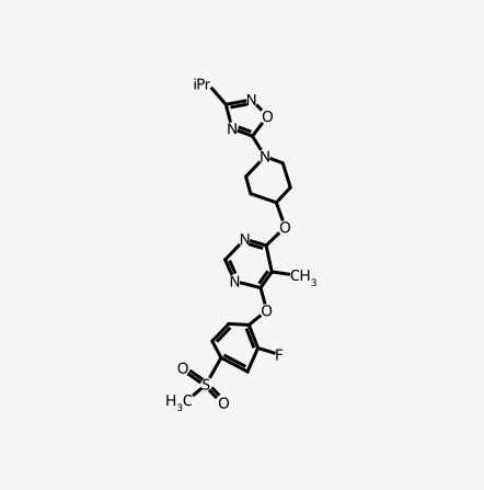 Cc1c(Oc2ccc(S(C)(=O)=O)cc2F)ncnc1OC1CCN(c2nc(C(C)C)no2)CC1